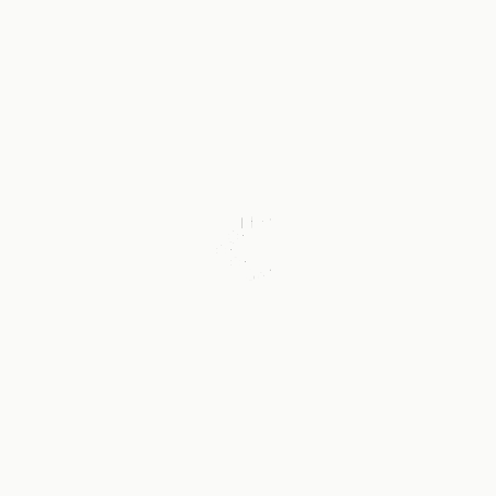 [Ge+4].[O-2].[O-2].[O-2].[Pb+2]